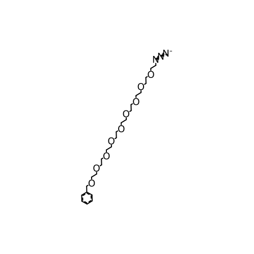 [N-]=[N+]=NCCOCCOCCOCCOCCOCCOCCOCCOCCOCc1ccccc1